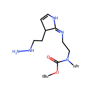 CCCN(CC/N=C1/NC=CC1CCNN)C(=O)OC(C)(C)C